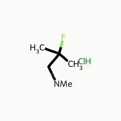 CNCC(C)(C)F.Cl